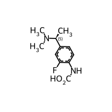 C[C@@H](c1ccc(NC(=O)O)c(F)c1)N(C)C